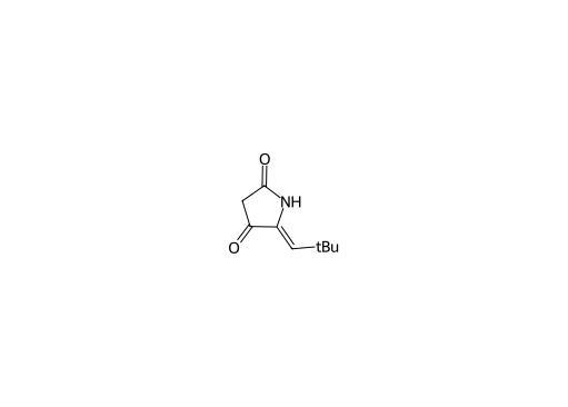 CC(C)(C)/C=C1\NC(=O)CC1=O